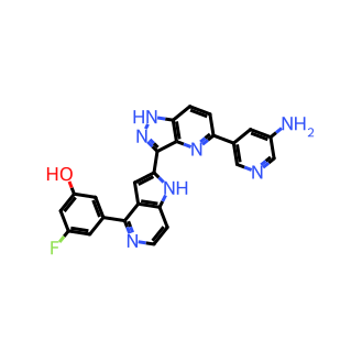 Nc1cncc(-c2ccc3[nH]nc(-c4cc5c(-c6cc(O)cc(F)c6)nccc5[nH]4)c3n2)c1